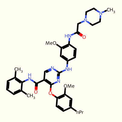 CCCc1ccc(Oc2nc(Nc3ccc(NC(=O)CN4CCN(C)CC4)c(OC)c3)ncc2C(=O)Nc2c(C)cccc2C)c(OC)c1